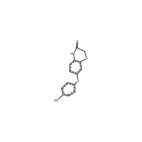 O=C1COc2cc(Sc3ccc(O)cc3)ccc2N1